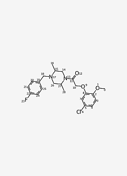 COc1ccc(Cl)cc1OCC(=O)N1CC(C)N(Cc2ccc(F)cc2)CC1C